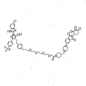 O=C1CCC(N2C(=O)c3ccc(N4CCN(CC5CCN(C(=O)COCCOCCOCCOCCCc6ccc(CCc7c(-c8ccc(C(F)(F)F)cc8)nn(-c8nc9cc(Cl)ccc9[nH]8)c7O)cc6)CC5)CC4)cc3C2=O)C(=O)N1